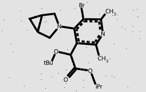 Cc1nc(C)c(C(OC(C)(C)C)C(=O)OC(C)C)c(N2CC3CC3C2)c1Br